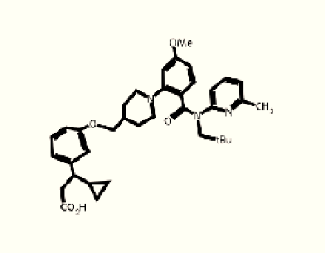 COc1ccc(C(=O)N(CC(C)(C)C)c2cccc(C)n2)c(N2CCC(COc3cccc(C(CC(=O)O)C4CC4)c3)CC2)c1